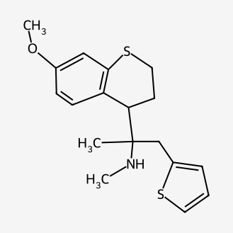 CNC(C)(Cc1cccs1)C1CCSc2cc(OC)ccc21